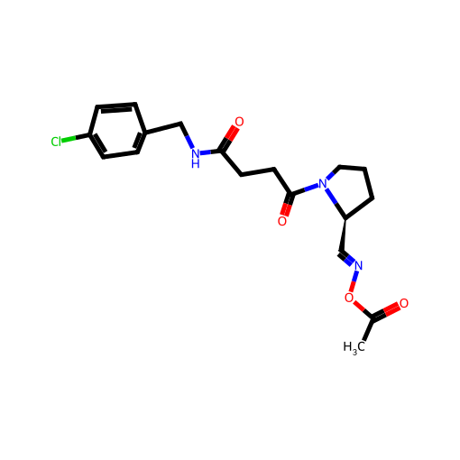 CC(=O)ON=C[C@@H]1CCCN1C(=O)CCC(=O)NCc1ccc(Cl)cc1